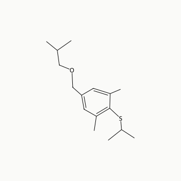 Cc1cc(COCC(C)C)cc(C)c1SC(C)C